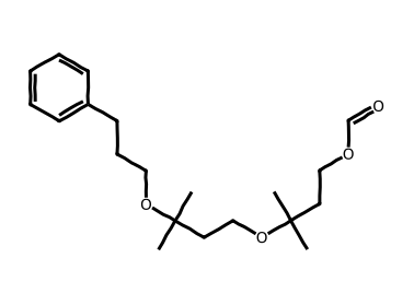 CC(C)(CCOC=O)OCCC(C)(C)OCCCc1ccccc1